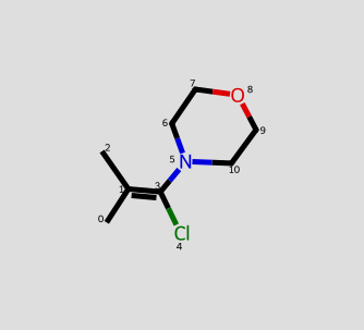 CC(C)=C(Cl)N1CCOCC1